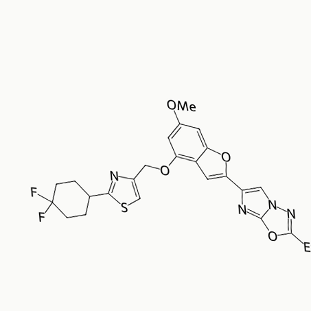 CCc1nn2cc(-c3cc4c(OCc5csc(C6CCC(F)(F)CC6)n5)cc(OC)cc4o3)nc2o1